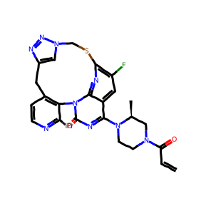 C=CC(=O)N1CCN(c2nc(=O)n3c4nc(c(F)cc24)SCn2cc(nn2)Cc2ccnc(C(C)C)c2-3)[C@@H](C)C1